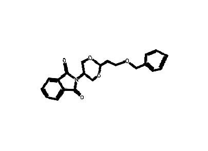 O=C1c2ccccc2C(=O)N1C1COC(CCOCc2ccccc2)OC1